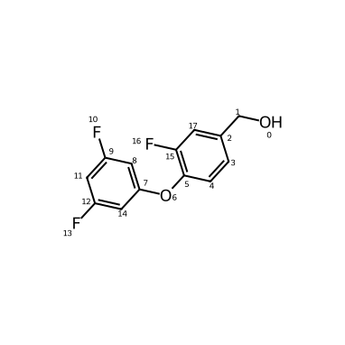 OCc1ccc(Oc2cc(F)cc(F)c2)c(F)c1